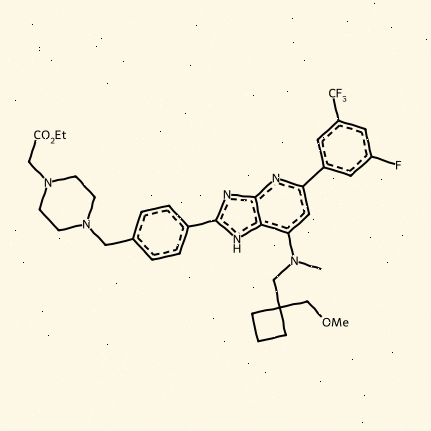 CCOC(=O)CN1CCN(Cc2ccc(-c3nc4nc(-c5cc(F)cc(C(F)(F)F)c5)cc(N(C)CC5(COC)CCC5)c4[nH]3)cc2)CC1